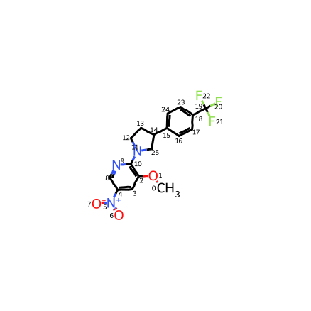 COc1cc([N+](=O)[O-])cnc1N1CCC(c2ccc(C(F)(F)F)cc2)C1